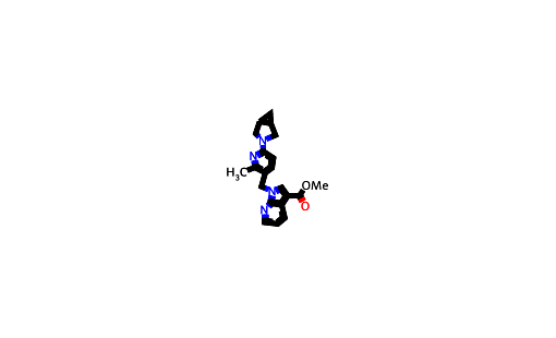 COC(=O)c1cn(Cc2ccc(N3CC4CC4C3)nc2C)c2ncccc12